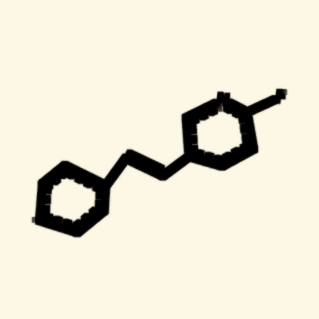 Fc1ccc(C=Cc2cc[c]cc2)cn1